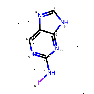 INc1ncc2nc[nH]c2n1